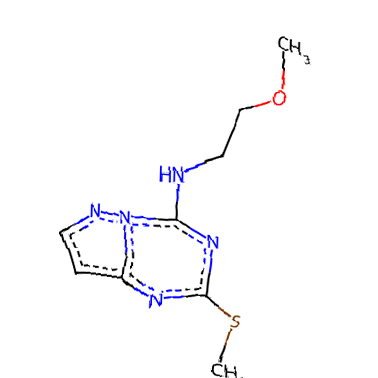 COCCNc1nc(SC)nc2ccnn12